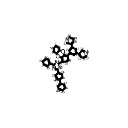 C1=CC2Oc3c(-c4cc(-c5cccnc5)cc(-c5cccnc5)c4)ccc(-c4nc(-c5ccccc5)nc(-c5ccc(-c6ccccc6)cc5)n4)c3OC2C=C1